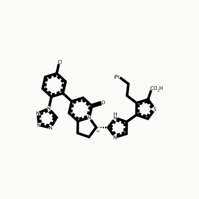 CC(C)CCc1c(-c2cnc([C@@H]3CCc4cc(-c5cc(Cl)ccc5-n5cnnn5)cc(=O)n43)[nH]2)csc1C(=O)O